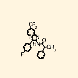 CC(C(=O)Nc1nc2cc(C(F)(F)F)ccn2c1-c1ccc(F)cc1)c1ccccc1